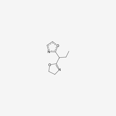 CC[C](C1=NCCO1)c1ncco1